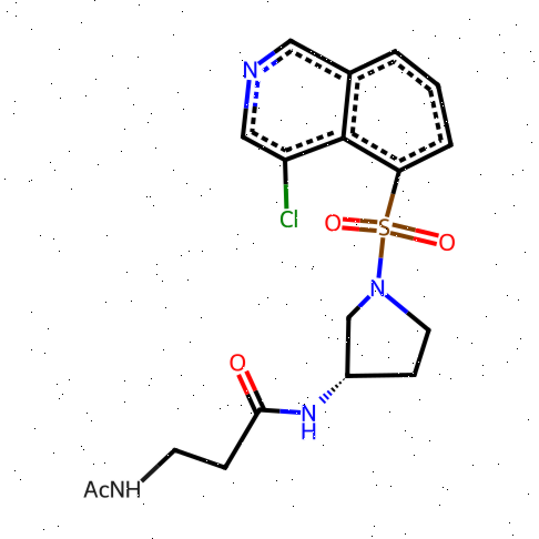 CC(=O)NCCC(=O)N[C@H]1CCN(S(=O)(=O)c2cccc3cncc(Cl)c23)C1